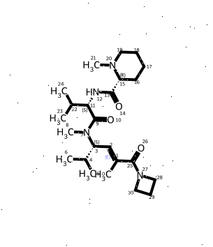 C/C(=C\[C@H](C(C)C)N(C)C(=O)[C@@H](NC(=O)[C@H]1CCCCN1C)C(C)C)C(=O)N1CCC1